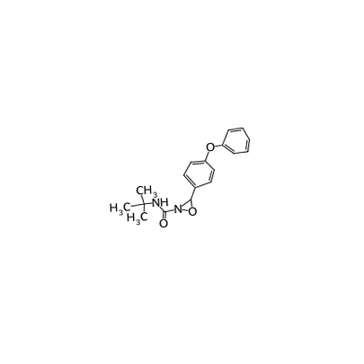 CC(C)(C)NC(=O)N1OC1c1ccc(Oc2ccccc2)cc1